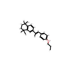 CCCOc1ccc(C=C(C)c2ccc3c(c2)C(C)(C)CCC3(C)C)cc1